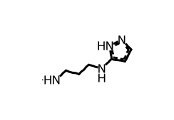 [NH]CCCNc1ccn[nH]1